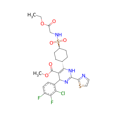 CCOC(=O)CNS(=O)(=O)[C@H]1CC[C@H](C2=C(C(=O)OC)C(c3ccc(F)c(F)c3Cl)N=C(c3nccs3)N2)CC1